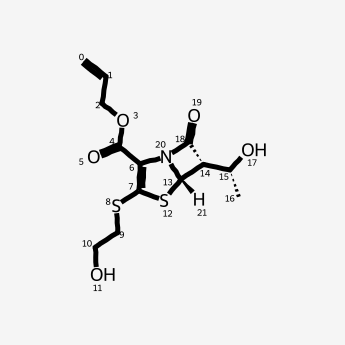 C=CCOC(=O)C1=C(SCCO)S[C@H]2[C@@H]([C@@H](C)O)C(=O)N12